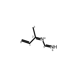 C=C/C(C)=N\C=N